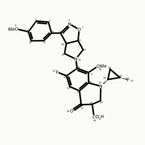 COc1ccc(C2=NOC3CN(c4c(F)cc5c(c4OC)N([C@@H]4C[C@@H]4F)CC(C(=O)O)C5=O)CC23)cc1